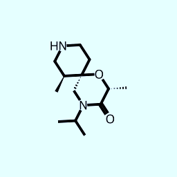 CC(C)N1C[C@]2(CCNC[C@@H]2C)O[C@H](C)C1=O